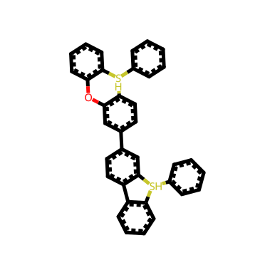 c1ccc([SH]2c3ccccc3Oc3cc(-c4ccc5c(c4)[SH](c4ccccc4)c4ccccc4-5)ccc32)cc1